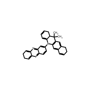 CC1(C)c2cc3c(cc2N(c2ccc4pc5c(nc4c2)=CCCC=5)C2=CC=CCC21)C=CCC3